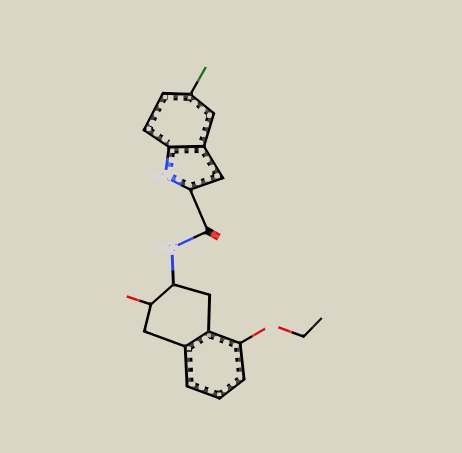 O=C(O)COc1cccc2c1CC(NC(=O)c1cc3cc(Cl)ccc3[nH]1)C(O)C2